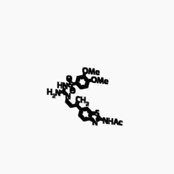 C=C(/C=C\N=C(/N)NS(=O)(=O)c1ccc(OC)c(OC)c1)c1ccc2nc(NC(C)=O)sc2c1